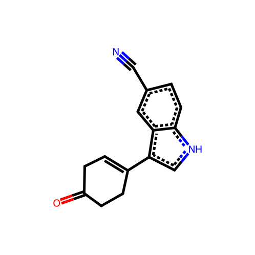 N#Cc1ccc2[nH]cc(C3=CCC(=O)CC3)c2c1